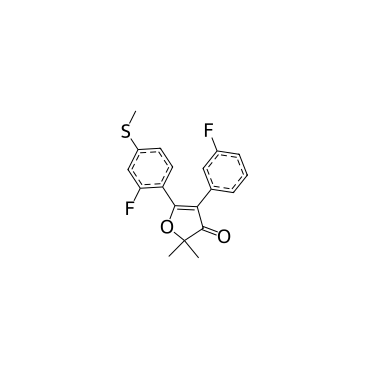 CSc1ccc(C2=C(c3cccc(F)c3)C(=O)C(C)(C)O2)c(F)c1